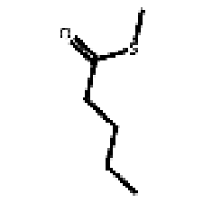 CCCCC(=O)SC